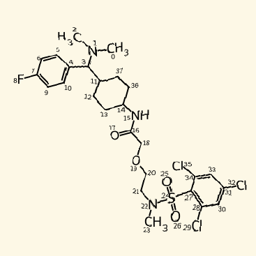 CN(C)C(c1ccc(F)cc1)C1CCC(NC(=O)COCCN(C)S(=O)(=O)c2c(Cl)cc(Cl)cc2Cl)CC1